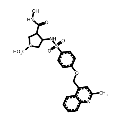 Cc1cc(COc2ccc(S(=O)(=O)NC3CN(C(=O)O)CC3C(=O)NO)cc2)c2ccccc2n1